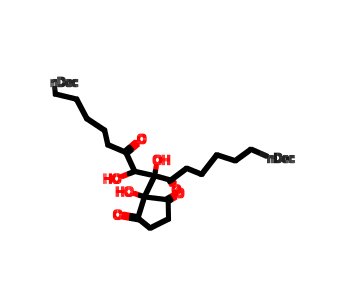 CCCCCCCCCCCCCCCC(=O)C(O)C(O)(C(=O)CCCCCCCCCCCCCCC)C1(O)C(=O)CCC1=O